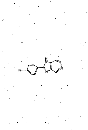 CC(C)c1ccc(-c2nc3cnccc3[nH]2)cc1